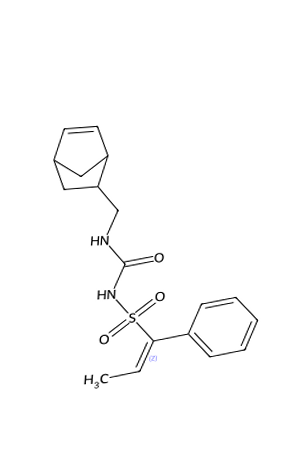 C/C=C(/c1ccccc1)S(=O)(=O)NC(=O)NCC1CC2C=CC1C2